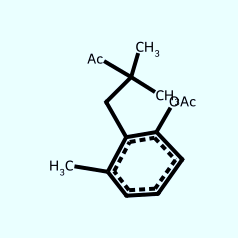 CC(=O)Oc1cccc(C)c1CC(C)(C)C(C)=O